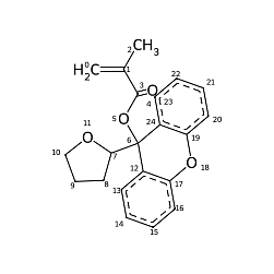 C=C(C)C(=O)OC1(C2CCCO2)c2ccccc2Oc2ccccc21